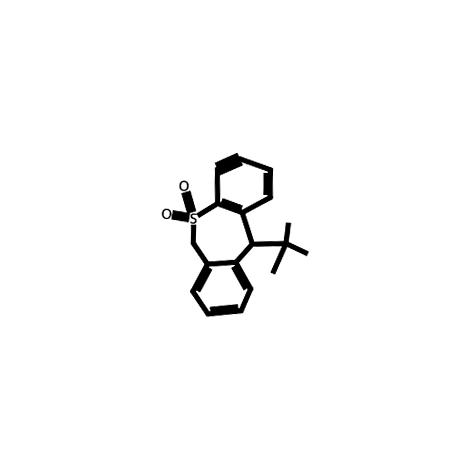 CC(C)(C)C1c2ccc#cc2S(=O)(=O)Cc2ccccc21